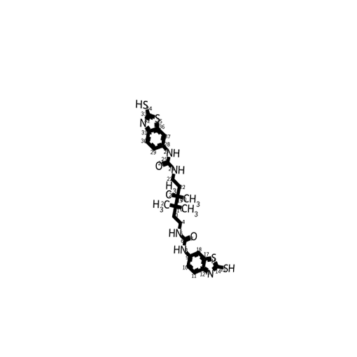 CC(C)(CCNC(=O)Nc1ccc2nc(S)sc2c1)C(C)(C)CCNC(=O)Nc1ccc2nc(S)sc2c1